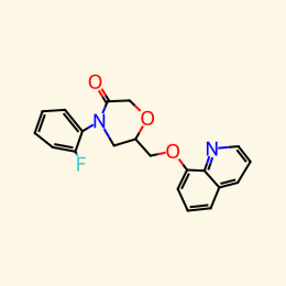 O=C1COC(COc2cccc3cccnc23)CN1c1ccccc1F